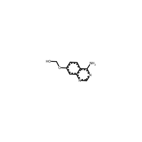 Nc1ncnc2cc(OCO)ccc12